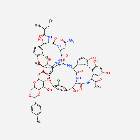 CNC(=O)C1NC(=O)C2NC(=O)C(NC(=O)C3NC(=O)C(CC(N)=O)NC(=O)C(NC(=O)C(CC(C)C)NC)C(O)c4ccc(c(Cl)c4)Oc4cc3cc(c4OC3OC4COC(c5ccc(C(C)=O)cc5)OC4C(O)C3OC3CC(N)C(O)C(C)O3)Oc3ccc(cc3Cl)C2O)c2ccc(O)c(c2)-c2c(O)cc(O)cc21